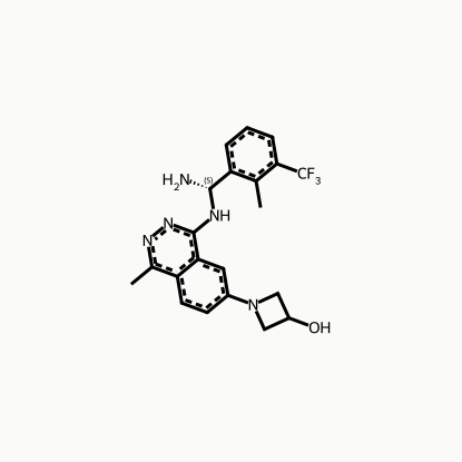 Cc1c([C@@H](N)Nc2nnc(C)c3ccc(N4CC(O)C4)cc23)cccc1C(F)(F)F